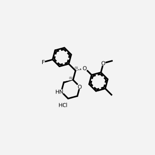 COc1cc(C)ccc1O[C@@H](c1cccc(F)c1)[C@@H]1CNCCO1.Cl